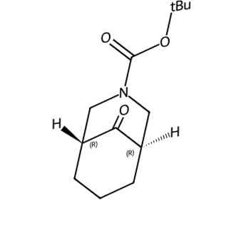 CC(C)(C)OC(=O)N1C[C@H]2CCC[C@H](C1)C2=O